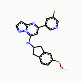 COc1ccc2c(c1)CC(Nc1cc(-c3cncc(F)c3)nc3ccnn13)C2